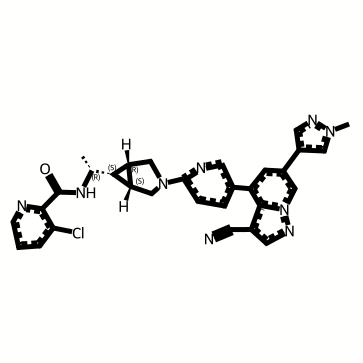 C[C@@H](NC(=O)c1ncccc1Cl)[C@@H]1[C@@H]2CN(c3ccc(-c4cc(-c5cnn(C)c5)cn5ncc(C#N)c45)cn3)C[C@@H]21